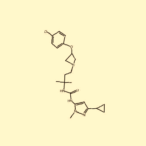 Cn1nc(C2CC2)cc1NC(=O)NC(C)(C)CCN1CC(Oc2ccc(Cl)cc2)C1